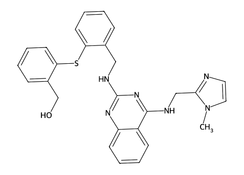 Cn1ccnc1CNc1nc(NCc2ccccc2Sc2ccccc2CO)nc2ccccc12